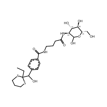 CCC1(C(O)c2ccc(C(=O)NCCCC(=O)N[C@@H]3C(O)O[C@@H](CO)[C@H](O)[C@H]3O)cc2)SCCCS1